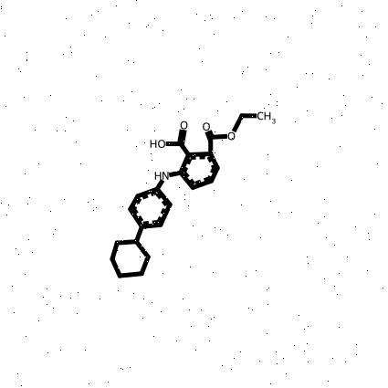 CCOC(=O)c1cccc(Nc2ccc(C3CCCCC3)cc2)c1C(=O)O